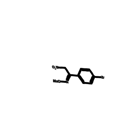 CON=C(C[N+](=O)[O-])c1ccc(Br)cc1